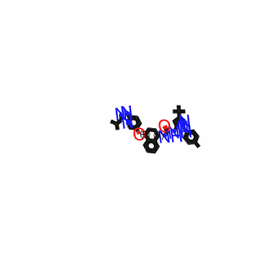 Cc1ccc(-n2nc(C(C)(C)C)cc2NC(=O)N[C@@H]2CC[C@@H](Oc3ccc4nnc(C(C)C)n4c3)c3ccccc32)cc1